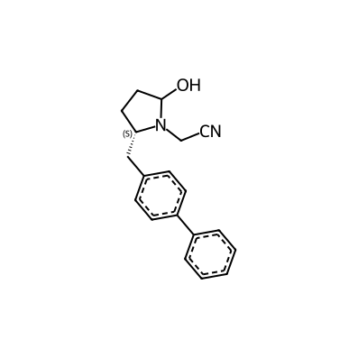 N#CCN1C(O)CC[C@H]1Cc1ccc(-c2ccccc2)cc1